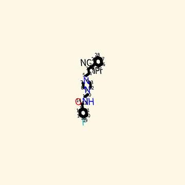 CC(C)C(C#N)(CCCN1CCN(CCNC(=O)c2ccc(F)cc2)CC1)c1ccccc1